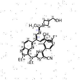 CCN(c1nc(-c2ccc(F)cc2)c(C#N)s1)c1c2nc(/C(C=C(C)C)=C/N=C(\C)N3CC(CO)C3)ccc2nn1CC